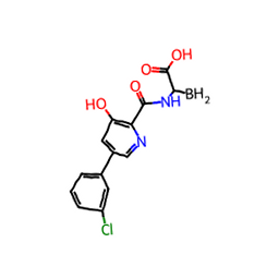 BC(NC(=O)c1ncc(-c2cccc(Cl)c2)cc1O)C(=O)O